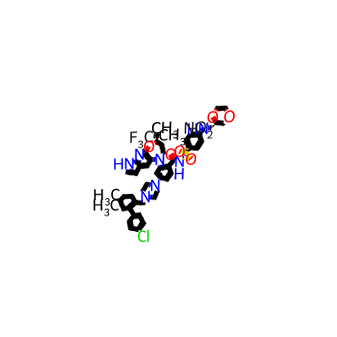 CC1(C)CCC(CN2CCN(c3ccc(C(=O)NS(=O)(=O)c4ccc(NC[C@H]5COCCO5)c([N+](=O)[O-])c4)c(N4CC[C@H](C(C)(C)C(F)(F)F)Oc5nc6[nH]ccc6cc54)c3)CC2)=C(c2ccc(Cl)cc2)C1